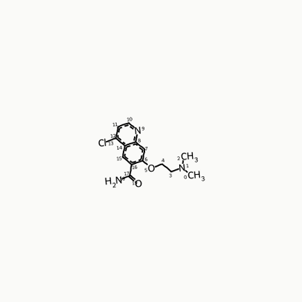 CN(C)CCOc1cc2nccc(Cl)c2cc1C(N)=O